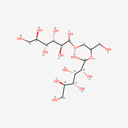 OCC(COC(O)[C@@H](O)[C@@H](O)[C@H](O)[C@H](O)CO)OC(O)[C@H](O)[C@@H](O)[C@H](O)[C@H](O)CO